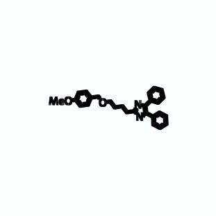 COc1ccc(COCCCCC2=NC(c3ccccc3)=C(c3ccccc3)[N]2)cc1